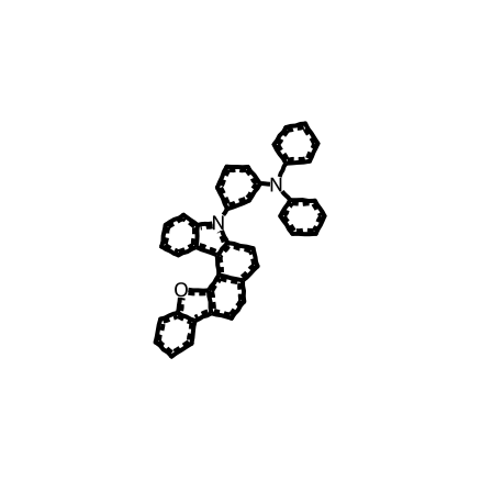 c1ccc(N(c2ccccc2)c2cccc(-n3c4ccccc4c4c5c(ccc6c7ccccc7oc65)ccc43)c2)cc1